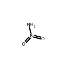 [NH2][Bi](=[O])=[O]